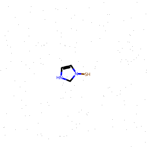 SN1C=CNC1